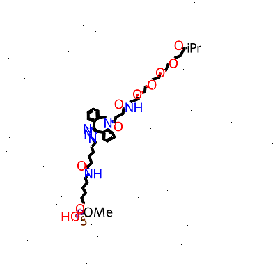 COP(O)(=S)OCCCCCCNC(=O)CCCCCn1nnc2c1-c1ccccc1N(C(=O)CCC(=O)NCCOCCOCCOCCOCCC(=O)C(C)C)Cc1ccccc1-2